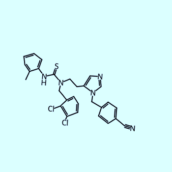 Cc1ccccc1NC(=S)N(CCc1cncn1Cc1ccc(C#N)cc1)Cc1cccc(Cl)c1Cl